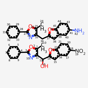 Cc1oc(-c2ccccc2)nc1C(O)c1cc2cc([N+](=O)[O-])ccc2o1.Cc1oc(-c2ccccc2)nc1Cc1cc2cc(N)ccc2o1